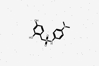 CN(C)c1ccc(NS(=O)(=O)Cc2ccc(O)cc2O)cc1